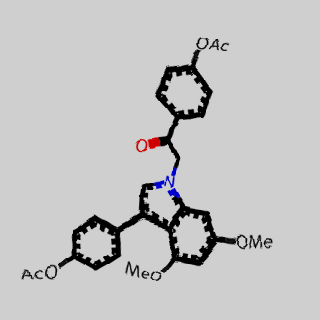 COc1cc(OC)c2c(-c3ccc(OC(C)=O)cc3)cn(CC(=O)c3ccc(OC(C)=O)cc3)c2c1